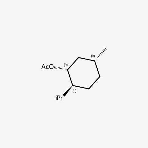 CC(=O)O[C@@H]1C[C@H](C)CC[C@H]1C(C)C